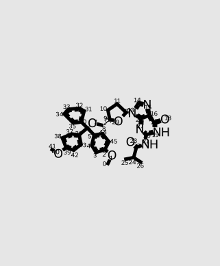 COc1ccc(C(OC[C@@H]2CC[C@H](n3cnc4c(=O)[nH]c(NC(=O)C(C)C)nc43)O2)(c2ccccc2)c2ccc(OC)cc2)cc1